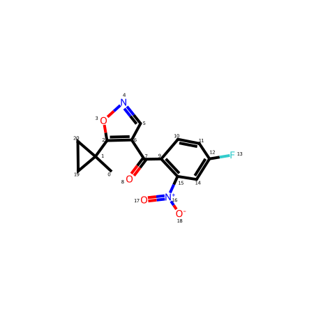 CC1(c2oncc2C(=O)c2ccc(F)cc2[N+](=O)[O-])CC1